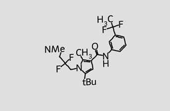 CNCC(F)(F)Cn1c(C(C)(C)C)cc(C(=O)Nc2cccc(C(C)(F)F)c2)c1C